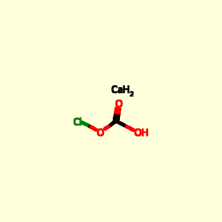 O=C(O)OCl.[CaH2]